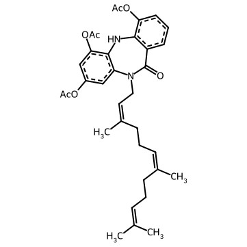 CC(=O)Oc1cc(OC(C)=O)c2c(c1)N(CC=C(C)CCC=C(C)CCC=C(C)C)C(=O)c1cccc(OC(C)=O)c1N2